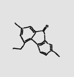 CCc1cc(C)cc2c1-c1ccc(C)cc1C2=O